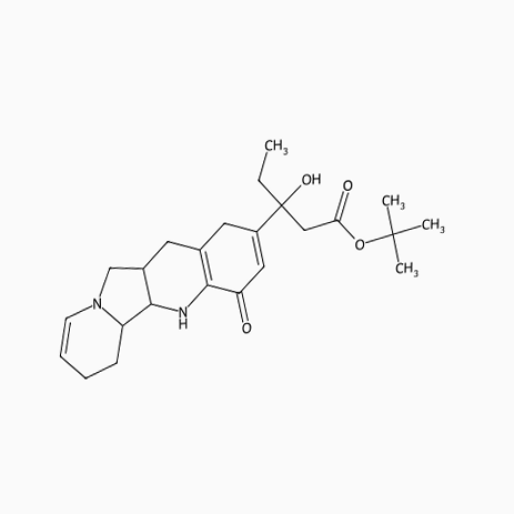 CCC(O)(CC(=O)OC(C)(C)C)C1=CC(=O)C2=C(C1)CC1CN3C=CCCC3C1N2